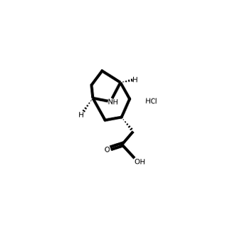 Cl.O=C(O)C[C@@H]1C[C@H]2CC[C@@H](C1)N2